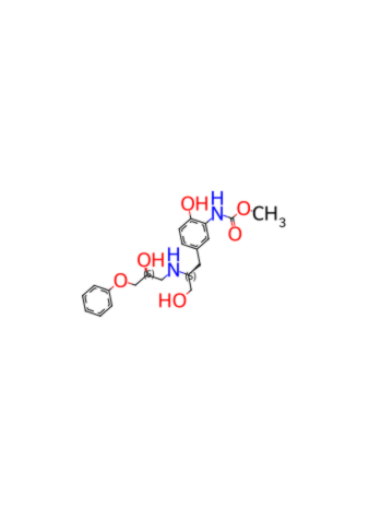 COC(=O)Nc1cc(C[C@@H](CO)NC[C@H](O)COc2ccccc2)ccc1O